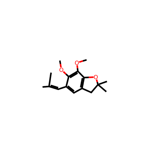 COc1c(C=C(C)C)cc2c(c1OC)OC(C)(C)C2